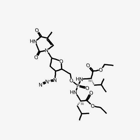 CCOC(=O)[C@H](CC(C)C)NP(=O)(N[C@@H](CC(C)C)C(=O)OCC)OCC1OC(n2cc(C)c(=O)[nH]c2=O)CC1N=[N+]=[N-]